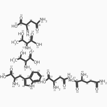 CC(O)C(N)C(=O)O.CC(O)C(N)C(=O)O.NC(=O)CC(N)C(=O)O.NC(=O)CC(N)C(=O)O.NC(=O)CCC(N)C(=O)O.NC(Cc1c[nH]c2ccccc12)C(=O)O